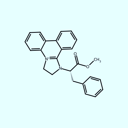 COC(=O)[C@H](Cc1ccccc1)N1CC[n+]2c1c1ccccc1c1ccccc12